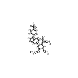 COc1ncc(N(C)C(=O)c2cn3c(-c4ccc(C(F)(F)F)cc4)cnc3cn2)cc1C